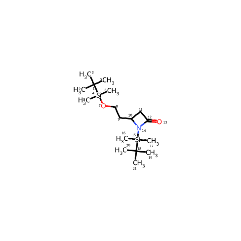 CC(C)(C)[Si](C)(C)OCCC1CC(=O)N1[Si](C)(C)C(C)(C)C